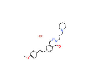 Br.COc1ccc(C=Cc2ccc3c(=O)n(CCCN4CCCCC4)ncc3c2)cc1